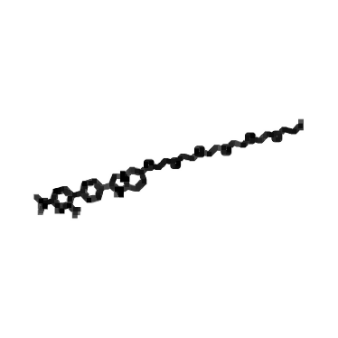 CN(C)c1ccc(-c2ccc(C3=NC4C=CC(OCCOCCOCCOCCOCCOCCI)=CN4C3)cc2)c(F)n1